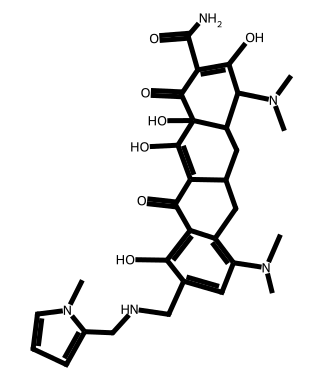 CN(C)c1cc(CNCc2cccn2C)c(O)c2c1CC1CC3C(N(C)C)C(O)=C(C(N)=O)C(=O)C3(O)C(O)=C1C2=O